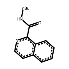 CCCCNC(=O)c1nccc2ccccc12